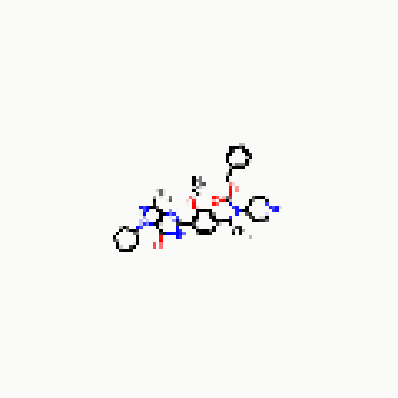 COc1cc(C(C)N(C(=O)OCc2ccccc2)C2CCNCC2)ccc1-c1nc2c(C)nn(C3CCCCC3)c2c(=O)[nH]1